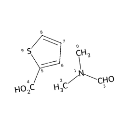 CN(C)C=O.O=C(O)c1cccs1